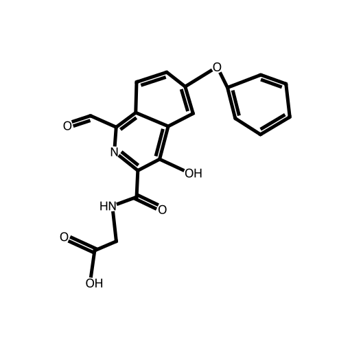 O=Cc1nc(C(=O)NCC(=O)O)c(O)c2cc(Oc3ccccc3)ccc12